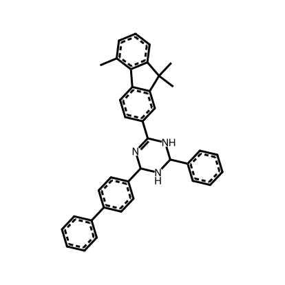 Cc1cccc2c1-c1ccc(C3=NC(c4ccc(-c5ccccc5)cc4)NC(c4ccccc4)N3)cc1C2(C)C